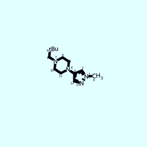 Cn1cc(N2CCN(CC(C)(C)C)CC2)cn1